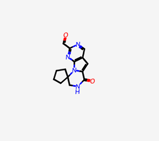 O=Cc1ncc2cc3n(c2n1)C1(CCCC1)CNC3=O